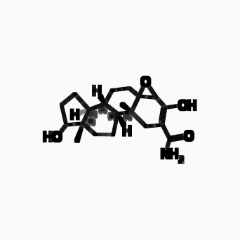 C[C@]12CC[C@@H]3[C@@H](CCC45OC4C(O)=C(C(N)=O)C[C@]35C)[C@@H]1CCC2O